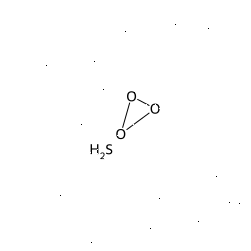 S.o1oo1